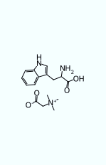 C[N+](C)(C)CC(=O)[O-].NC(Cc1c[nH]c2ccccc12)C(=O)O